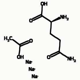 CC(=O)O.NC(=O)CC[C@H](N)C(=O)O.[Na].[Na].[Na]